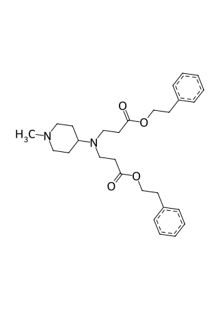 CN1CCC(N(CCC(=O)OCCc2ccccc2)CCC(=O)OCCc2ccccc2)CC1